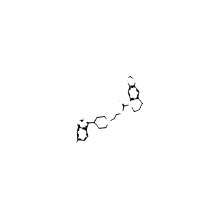 O=C(OCCN1CCC(c2noc3cc(F)ccc23)CC1)N1CCCc2cc3c(cc21)OCO3